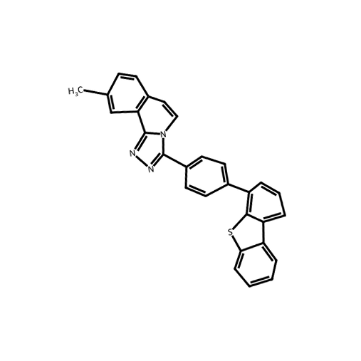 Cc1ccc2ccn3c(-c4ccc(-c5cccc6c5sc5ccccc56)cc4)nnc3c2c1